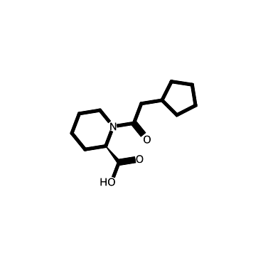 O=C(O)[C@H]1CCCCN1C(=O)CC1CCCC1